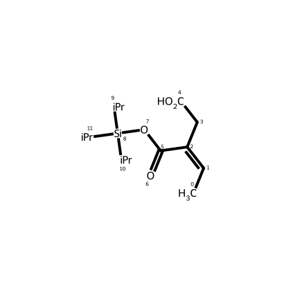 CC=C(CC(=O)O)C(=O)O[Si](C(C)C)(C(C)C)C(C)C